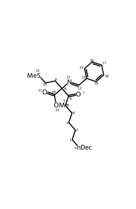 CCCCCCCCCCCCCCCC(=O)C(CCSC)(N=Cc1ccccc1)C(=O)OC